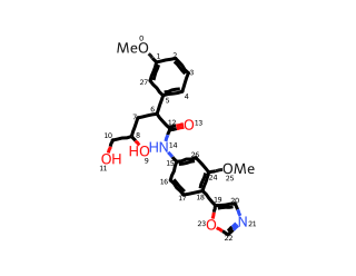 COc1cccc(C(CC(O)CO)C(=O)Nc2ccc(-c3cnco3)c(OC)c2)c1